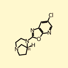 Clc1cnc2oc(N3CCN4CC[C@@H]3C4)nc2c1